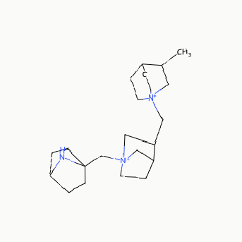 CC1C[N+]2(CC3C[N+]4(CC56CCC(CC5)N6)CCC3C4)CCC1CC2